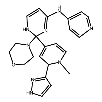 CN1C=CC(C2(N3CCOCC3)N=C(Nc3ccncc3)C=CN2)=CC1c1cc[nH]n1